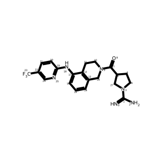 N=C(N)N1CCC(C(=O)N2CCc3c(cccc3Nc3ccc(C(F)(F)F)cn3)C2)C1